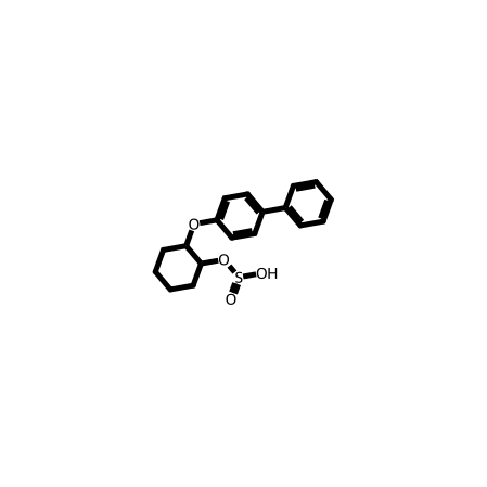 O=S(O)OC1CCCCC1Oc1ccc(-c2ccccc2)cc1